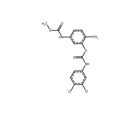 COC(=O)Nc1ccc(C)c(OC(=O)Nc2ccc(Cl)c(Cl)c2)c1